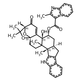 Cc1nc2ccccn2c1C(=O)O[C@H]1C[C@H]2Cc3c([nH]c4ccccc34)[C@]2(C)C2(C)CC[C@@]34O[C@@H](C(=O)C=C3[C@]12O)C(C)(C)O4